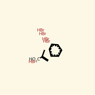 Br.Br.Br.Br.Br.C=C(C)C(=O)O.c1ccccc1